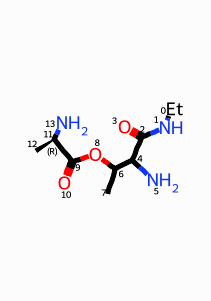 CCNC(=O)C(N)C(C)OC(=O)[C@@H](C)N